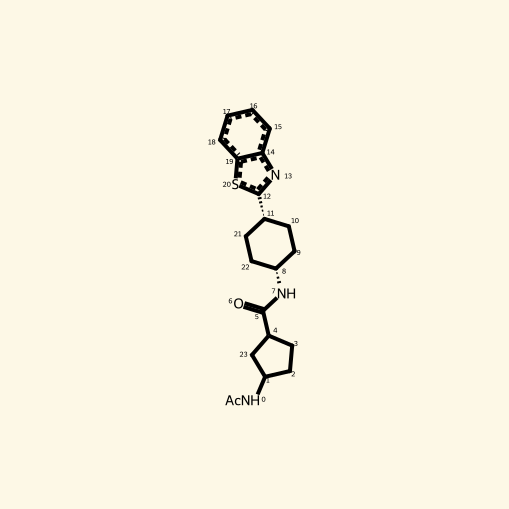 CC(=O)NC1CCC(C(=O)N[C@H]2CC[C@@H](c3nc4ccccc4s3)CC2)C1